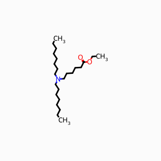 CCCCCCCCN(CCCCCCCC)CCCCCC(=O)OCC